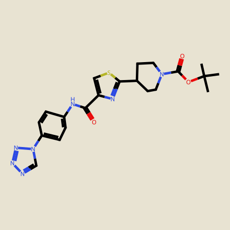 CC(C)(C)OC(=O)N1CCC(c2nc(C(=O)Nc3ccc(-n4cnnn4)cc3)cs2)CC1